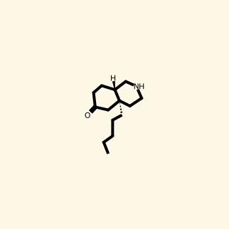 CCCCC[C@@]12CCNC[C@H]1CCC(=O)C2